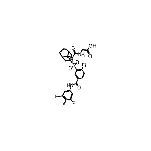 O=C(O)CNC(=O)CC1(O)C2CCC1CC(S(=O)(=O)c1cc(C(=O)Nc3cc(F)c(F)c(F)c3)ccc1Cl)C2